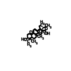 CCC[C@]1(C(=O)O)CC[C@]2(C)C(=CCC3[C@@]4(C)CC[C@H](O)C(C)(C)C4CC[C@]32C)C1CC